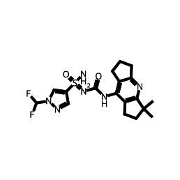 CC1(C)CCc2c1nc1c(c2NC(=O)N=S(N)(=O)c2cnn(C(F)F)c2)CCC1